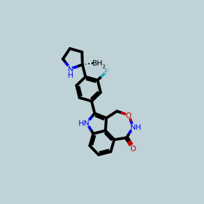 B[C@@]1(c2ccc(-c3[nH]c4cccc5c4c3CONC5=O)cc2F)CCCN1